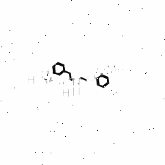 COc1ccccc1OCCNC(C)Cc1cccc(S(N)(=O)=O)c1